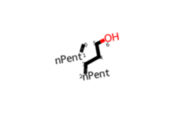 CCCCCC.CCCCCCCCO